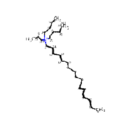 CCCCCCCCCCCCCCCC[N+](CCC)(CCCC)CCCC